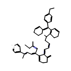 C=C1CCC=C(C(/C=C(/C)CC)=C/C=C(\C)c2ccncc2)/C1=C/C=C\CC(C)C1=C(/C(=C2/C=CCCC2)c2ccc(CC)cc2)C=CCC1